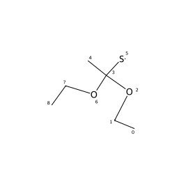 CCOC(C)([S])OCC